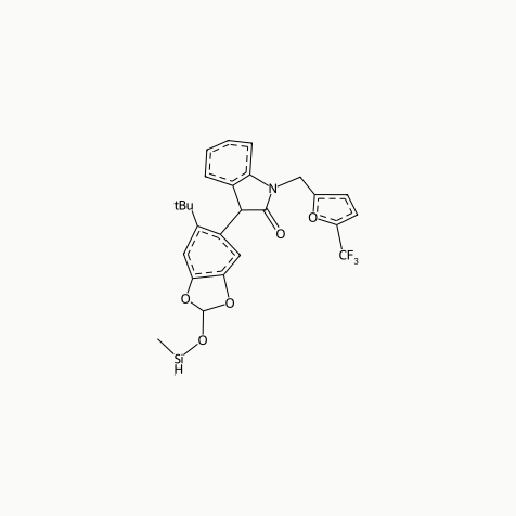 C[SiH](C)OC1Oc2cc(C3C(=O)N(Cc4ccc(C(F)(F)F)o4)c4ccccc43)c(C(C)(C)C)cc2O1